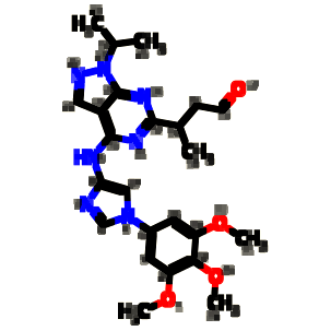 COc1cc(-n2cnc(Nc3nc(C(C)CC=O)nc4c3cnn4C(C)C)c2)cc(OC)c1OC